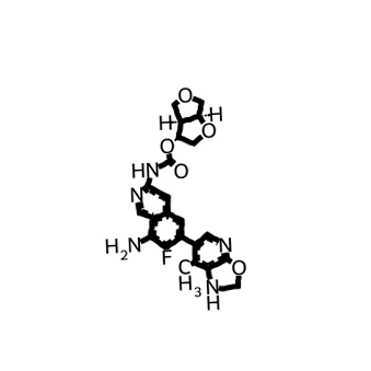 Cc1c(-c2cc3cc(NC(=O)O[C@H]4CO[C@@H]5COC[C@H]45)ncc3c(N)c2F)cnc2c1NCCO2